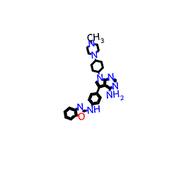 CN1CCN([C@H]2CC[C@H](n3cc(-c4ccc(Nc5nc6ccccc6o5)cc4)c4c(N)ncnc43)CC2)CC1